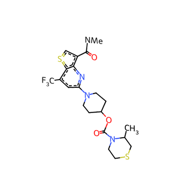 CNC(=O)c1csc2c(C(F)(F)F)cc(N3CCC(OC(=O)N4CCSCC4C)CC3)nc12